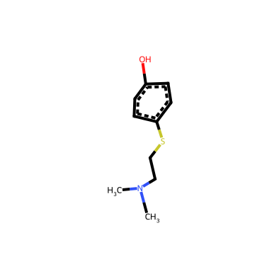 CN(C)CCSc1ccc(O)cc1